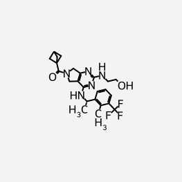 Cc1c([C@@H](C)Nc2nc(NCCO)nc3c2CN(C(=O)C24CC(C2)C4)C3)cccc1C(F)(F)F